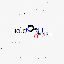 CC(C)COC(=O)N[C@@H]1CCN(C(=O)O)C1